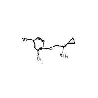 Cc1cc(Br)ccc1OCC(O)C1CC1